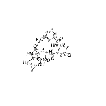 C[C@@H]1C[C@@H](CC(NC(=O)c2cc(Cl)ccc2NC(=O)c2cccc(C(F)(F)F)c2)C(=O)C(=O)NC2CC2)C(=O)N1